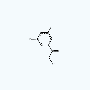 O=C(CS)c1cc(F)cc(F)c1